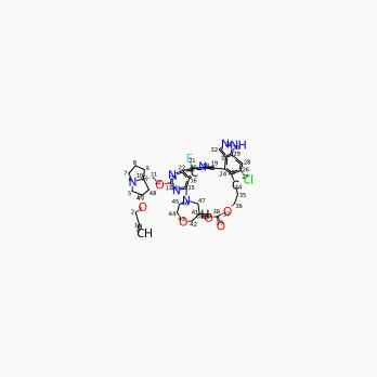 C#CCO[C@@H]1CN2CCC[C@@]2(COc2nc3c4cnc(c(F)c4n2)-c2c(c(Cl)cc4[nH]ncc24)CCCOC(=O)O[C@@H]2COCCN3C2)C1